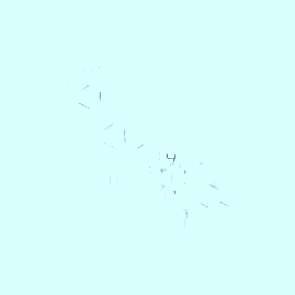 CC(=O)Oc1ccc(Oc2ccc(C(=O)O[C@@]3(C(=O)O)[C@H](C)C[C@H]4[C@@H]5C[C@H](F)C6=CC(=O)C=C[C@]6(C)C5(F)[C@@H](O)C[C@@]43C)cc2)cc1Cl